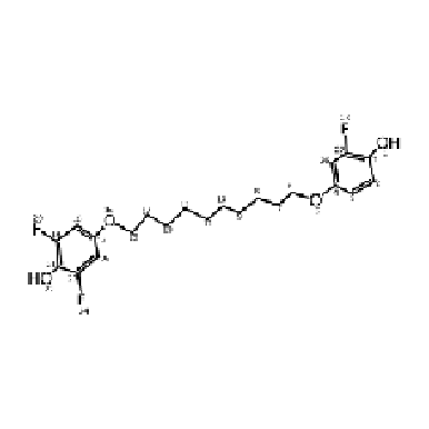 Oc1ccc(OCCCCCCCCCCOc2cc(F)c(O)c(F)c2)cc1F